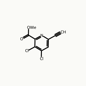 C#Cc1cc(Cl)c(Cl)c(C(=O)OC)n1